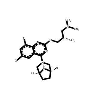 C[C@H](COc1nc(N2C[C@H]3CC[C@@H](C2)N3)c2cc(Cl)cc(F)c2n1)CN(C)C